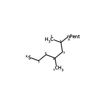 CCCCCC(C)CC(C)CC[S]